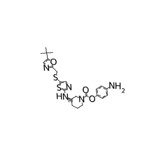 CC(C)(C)c1cnc(CSc2cnc(N[C@@H]3CCCN(C(=O)Oc4ccc(N)cc4)C3)s2)o1